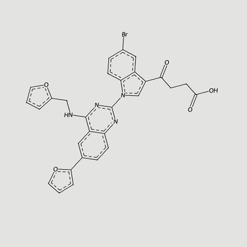 O=C(O)CCC(=O)c1cn(-c2nc(NCc3ccco3)c3cc(-c4ccco4)ccc3n2)c2ccc(Br)cc12